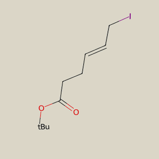 CC(C)(C)OC(=O)CCC=CCI